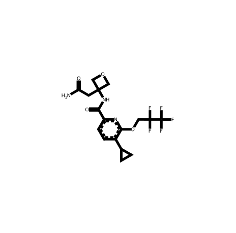 NC(=O)CC1(NC(=O)c2ccc(C3CC3)c(OCC(F)(F)C(F)(F)F)n2)COC1